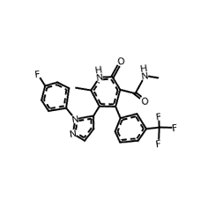 CNC(=O)c1c(-c2cccc(C(F)(F)F)c2)c(-c2ccnn2-c2ccc(F)cc2)c(C)[nH]c1=O